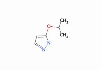 CC(C)OC1=C[C]=N[N]1